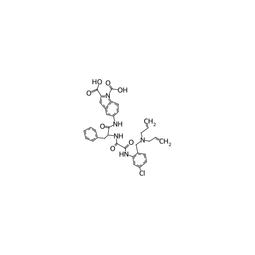 C=CCN(CC=C)Cc1ccc(Cl)cc1NC(=O)C(=O)NC(Cc1ccccc1)C(=O)Nc1ccc2c(c1)cc(C(=O)O)n2C(=O)O